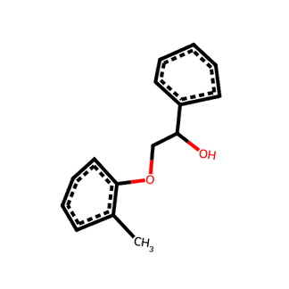 Cc1ccccc1OCC(O)c1ccccc1